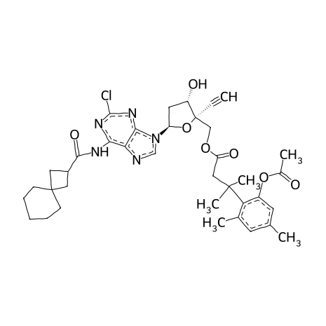 C#C[C@]1(COC(=O)CC(C)(C)c2c(C)cc(C)cc2OC(C)=O)O[C@@H](n2cnc3c(NC(=O)C4CC5(CCCCC5)C4)nc(Cl)nc32)C[C@@H]1O